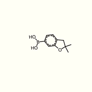 CC1(C)Cc2ccc(B(O)O)cc2O1